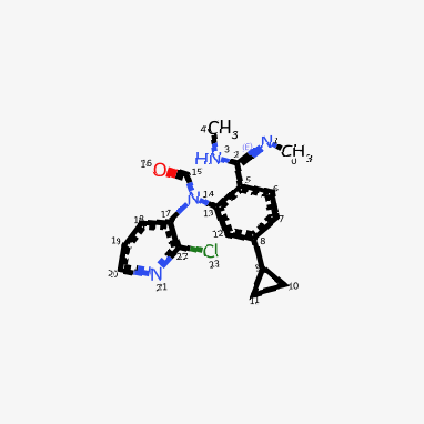 C/N=C(/NC)c1ccc(C2CC2)cc1N(C=O)c1cccnc1Cl